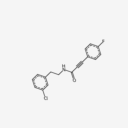 O=C(C#Cc1ccc(F)cc1)NCCc1cccc(Cl)c1